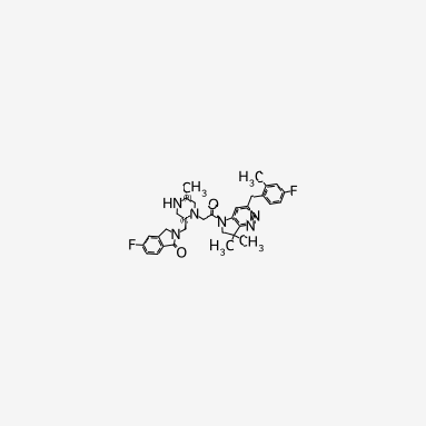 Cc1cc(F)ccc1Cc1cc2c(nn1)C(C)(C)CN2C(=O)CN1C[C@@H](C)NC[C@@H]1CN1Cc2cc(F)ccc2C1=O